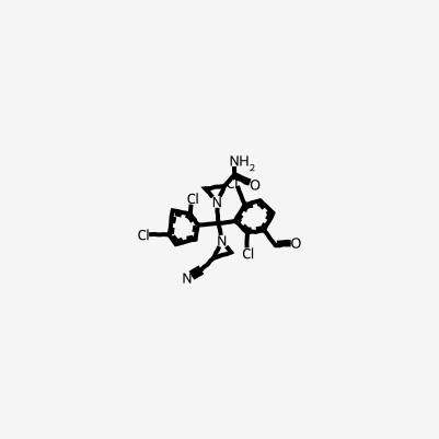 N#CC1CN1C(c1ccc(Cl)cc1Cl)(c1c(Cl)ccc(C=O)c1Cl)N1CC1C(N)=O